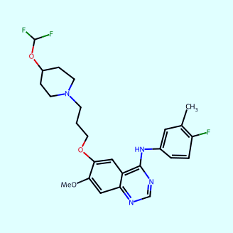 COc1cc2ncnc(Nc3ccc(F)c(C)c3)c2cc1OCCCN1CCC(OC(F)F)CC1